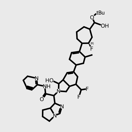 CC1CC(C2=CC3C(CN(C(C(=O)NC4=NCCC#C4)C4N=CN5CCCC45)C3O)C(C(F)F)C2)CC=C1C1CCCC(C(O)OC(C)(C)C)C[C@H]1F